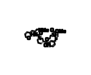 CNC[C@H](CC1CCCOC1)NC(=O)N1CCC[C@@H]([C@@](O)(OCCNC(=O)OC)c2cccc(F)c2)C1